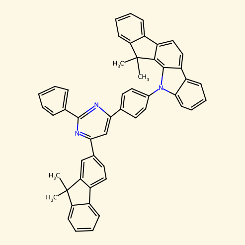 CC1(C)c2ccccc2-c2ccc(-c3cc(-c4ccc(-n5c6ccccc6c6ccc7c(c65)C(C)(C)c5ccccc5-7)cc4)nc(-c4ccccc4)n3)cc21